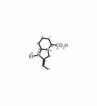 C/C=C1\CN2C(C(=O)O)CCCC2N1CC